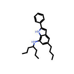 CCCCc1cc(NC(CCC)CCC)c2[nH]c(-c3ccccc3)cc2c1